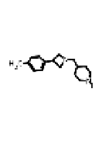 Cc1ccc(C2CN(CC3CCN(I)CC3)C2)cc1